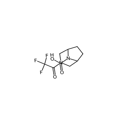 O=C(O)N1C2CCC1CN(C(=O)C(F)(F)F)C2